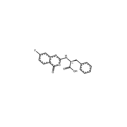 O=C(O)[C@H](Cc1ccccc1)Nc1nc2cc(F)ccc2c(=O)o1